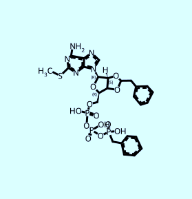 CSc1nc(N)c2ncn([C@@H]3O[C@H](COP(=O)(O)OP(=O)(O)OP(=O)(O)Cc4ccccc4)C4OC(Cc5ccccc5)O[C@@H]43)c2n1